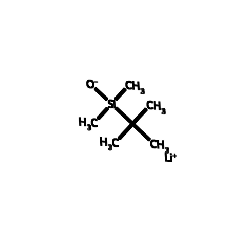 CC(C)(C)[Si](C)(C)[O-].[Li+]